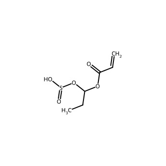 C=CC(=O)OC(CC)OS(=O)O